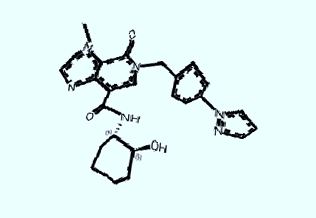 Cn1cnc2c(C(=O)N[C@H]3CCCC[C@@H]3O)cn(Cc3ccc(-n4cccn4)cc3)c(=O)c21